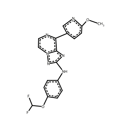 COc1ccc(-c2nccn3nc(Nc4ccc(OC(F)F)cc4)nc23)cn1